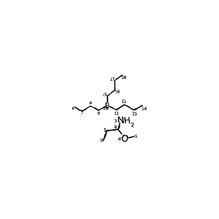 CCC(N)OC.CCCCB(CCCC)CCCC